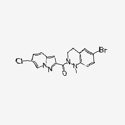 CN1c2ccc(Br)cc2CCN1C(=O)c1cc2ccc(Cl)cn2n1